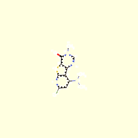 CN(C)c1cc(Cl)nc2sc3c(=O)n(C)cnc3c12